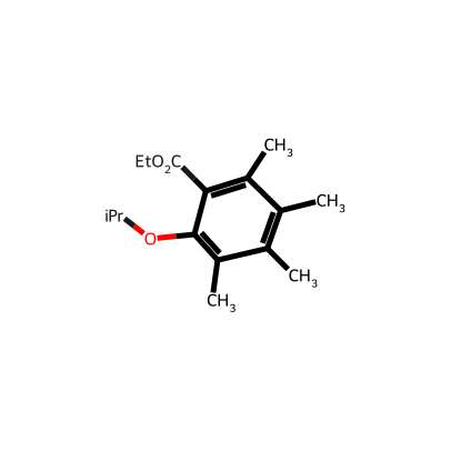 CCOC(=O)c1c(C)c(C)c(C)c(C)c1OC(C)C